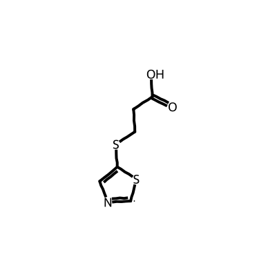 O=C(O)CCSc1cn[c]s1